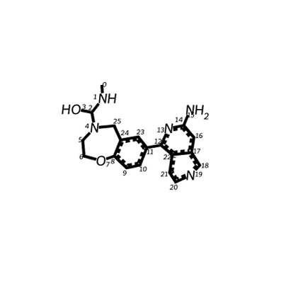 CNC(O)N1CCOc2ccc(-c3nc(N)cc4cnccc34)cc2C1